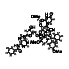 COCCO[C@@H]1[C@H](OP(=S)(OCCC#N)OC[C@H]2O[C@@H](n3cnc4c(NC(=O)c5ccccc5)ncnc43)C[C@@H]2O)[C@@H](COC(c2ccccc2)(c2ccc(OC)cc2)c2ccc(OC)cc2)O[C@H]1n1ccc(=O)[nH]c1=O